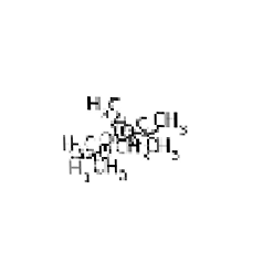 CCCC(C)(OOC(C)(C)CC)OOC(C)(C)CC